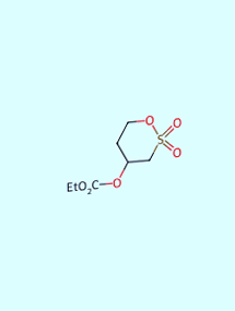 CCOC(=O)OC1CCOS(=O)(=O)C1